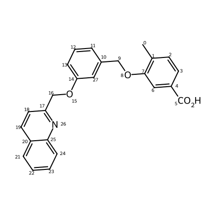 Cc1ccc(C(=O)O)cc1OCc1cccc(OCc2ccc3ccccc3n2)c1